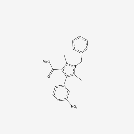 COC(=O)c1c(-c2cccc([N+](=O)[O-])c2)c(C)n(Cc2ccccc2)c1C